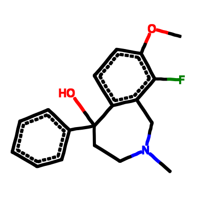 COc1ccc2c(c1F)CN(C)CCC2(O)c1ccccc1